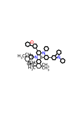 CC1(C)CCC(C)(C)c2cc(N3c4cc5c(cc4B4c6ccc(-c7ccc8c(c7)c7ccccc7n8-c7ccccc7)cc6N(c6ccccc6)c6cc(-c7ccc8oc9ccccc9c8c7)cc3c64)C(C)(C)CCC5(C)C)ccc21